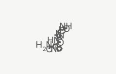 Cc1nn(CC2CNC(=O)O2)c(C)c1NC(=O)c1cc(C(N)=O)nc2ccccc12